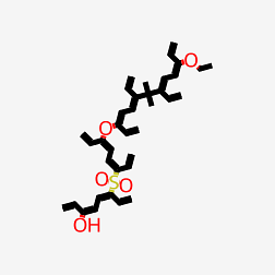 C=C/C(O)=C\C=C(/C=C)S(=O)(=O)/C(C=C)=C/C=C(\C=C)O/C(C=C)=C/C=C(\C=C)C(C)(C)/C(C=C)=C/C=C(\C=C)OCC